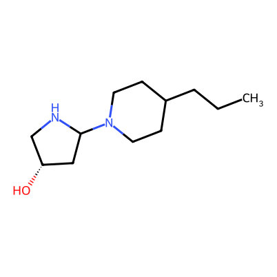 CCCC1CCN(C2C[C@H](O)CN2)CC1